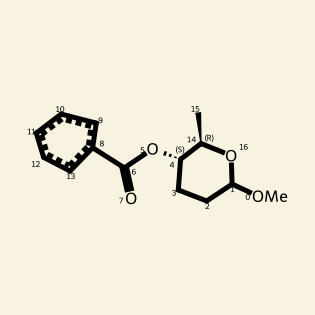 COC1CC[C@H](OC(=O)c2ccccc2)[C@@H](C)O1